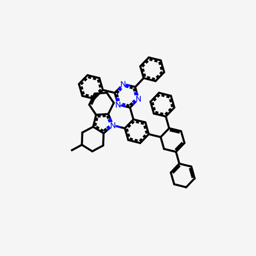 CC1CCc2c(c3c(n2-c2ccc(C4CC(C5=CCCC=C5)=CC=C4c4ccccc4)cc2-c2nc(-c4ccccc4)nc(-c4ccccc4)n2)CCC=C3)C1